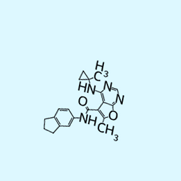 Cc1oc2ncnc(NC3(C)CC3)c2c1C(=O)Nc1ccc2c(c1)CCC2